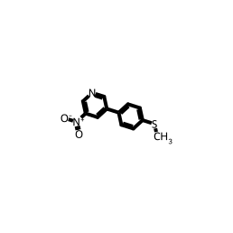 CSc1ccc(-c2cncc([N+](=O)[O-])c2)cc1